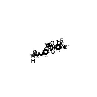 [C-]#[N+]c1ccc(N2C(=O)N(c3ccc(CCCC(=O)NC)cc3)C3(CCC3)C2=O)cc1C(F)(F)F